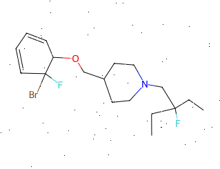 CCC(F)(CC)CN1CCC(COC2C=CC=CC2(F)Br)CC1